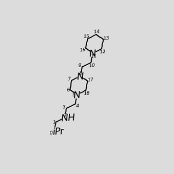 CC(C)CNCCN1CCN(CCN2CCCCC2)CC1